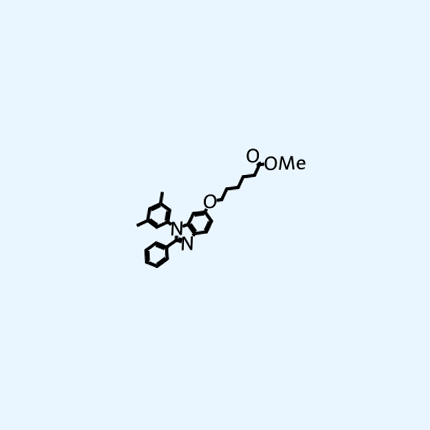 COC(=O)CCCCCOc1ccc2nc(-c3ccccc3)n(-c3cc(C)cc(C)c3)c2c1